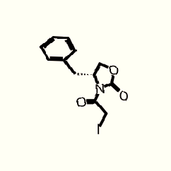 O=C(CI)N1C(=O)OC[C@H]1Cc1ccccc1